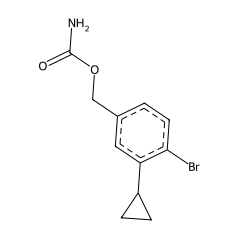 NC(=O)OCc1ccc(Br)c(C2CC2)c1